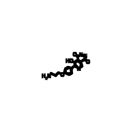 NCCCOc1ccc(-c2ncc3c(c2O)C(=O)N=NC3=O)cc1